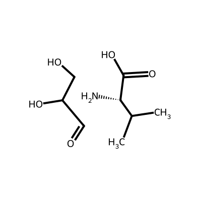 CC(C)[C@H](N)C(=O)O.O=CC(O)CO